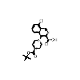 CC(C)(C)OC(=O)N1CCN(c2c(C(=O)O)ncc3c(Cl)cccc23)CC1